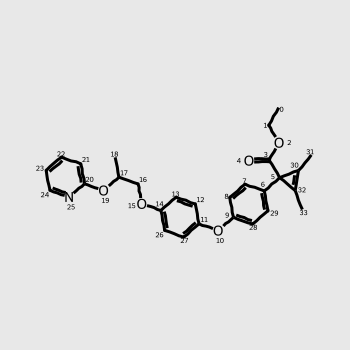 CCOC(=O)C1(c2ccc(Oc3ccc(OCC(C)Oc4ccccn4)cc3)cc2)C(C)=C1C